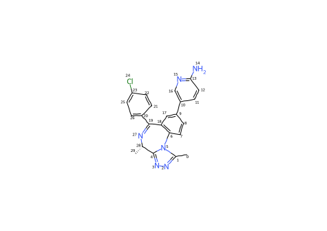 Cc1nnc2n1-c1ccc(-c3ccc(N)nc3)cc1C(c1ccc(Cl)cc1)=N[C@H]2C